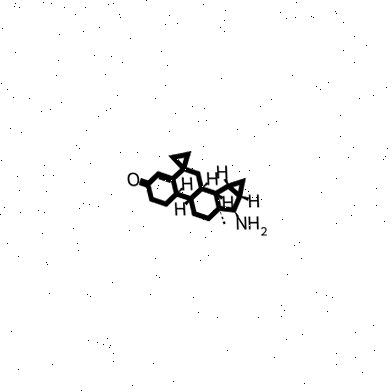 C[C@]12CC[C@H]3[C@@H](CC4(CC4)C4=CC(=O)CC[C@@H]43)[C@@H]1[C@@H]1C[C@@H]1[C@@H]2N